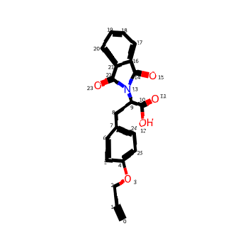 C#CCOc1ccc(CC(C(=O)O)N2C(=O)c3ccccc3C2=O)cc1